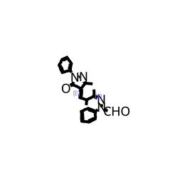 CC1=NN(c2ccccc2)C(=O)/C1=C/C(C)/C(C)=N\N(C=O)c1ccccc1